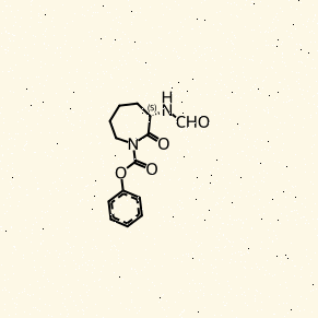 O=CN[C@H]1CCCCN(C(=O)Oc2ccccc2)C1=O